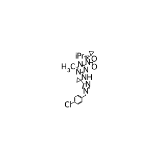 Cc1nc(NC2(c3cn(Cc4ccc(Cl)cc4)cn3)CC2)nc(N2C(=O)OC3(CC3)[C@@H]2C(C)C)n1